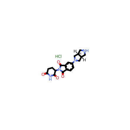 Cl.O=C1CCC(N2C(=O)c3ccc(N4C[C@H]5CNC[C@H]5C4)cc3C2=O)C(=O)N1